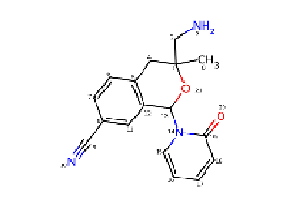 CC1(CN)Cc2ccc(C#N)cc2C(n2ccccc2=O)O1